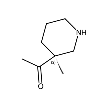 CC(=O)[C@@]1(C)CCCNC1